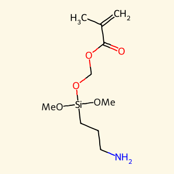 C=C(C)C(=O)OCO[Si](CCCN)(OC)OC